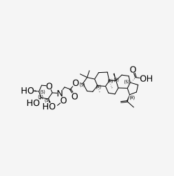 C=C(C)[C@@H]1CC[C@]2(C(=O)O)CC[C@]3(C)C(CCC4[C@@]5(C)CC[C@H](OC(=O)CN(OC)C6OC[C@H](O)[C@H](O)[C@@H]6O)C(C)(C)C5CC[C@]43C)C12